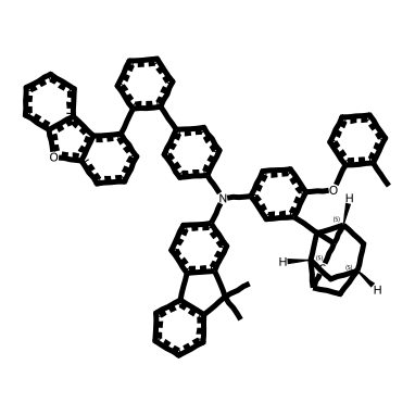 Cc1ccccc1Oc1ccc(N(c2ccc(-c3ccccc3-c3cccc4oc5ccccc5c34)cc2)c2ccc3c(c2)C(C)(C)c2ccccc2-3)cc1C1CC2C[C@@H]3C[C@H]2C[C@@H]1C3